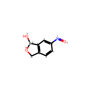 O=Nc1ccc2c(c1)B(O)OC2